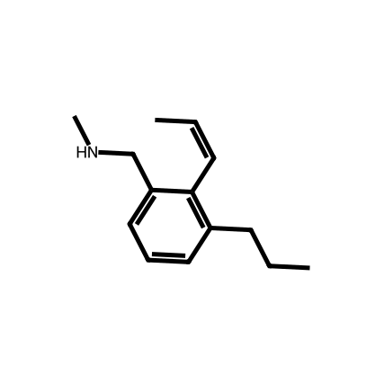 C/C=C\c1c(CCC)cccc1CNC